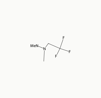 CNN(C)CC(F)(F)F